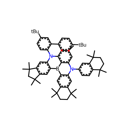 Cc1cc2c3c(c1)N(c1ccc(C(C)(C)C)cc1-c1ccc(C(C)(C)C)cc1)c1cc4c(cc1B3c1cc3c(cc1N2c1ccc2c(c1)C(C)(C)CCC2(C)C)C(C)(C)CCC3(C)C)C(C)(C)CC4(C)C